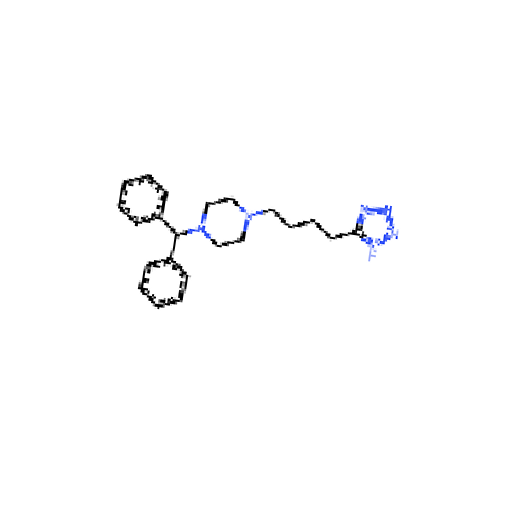 c1ccc(C(c2ccccc2)N2CCN(CCCCc3nnn[nH]3)CC2)cc1